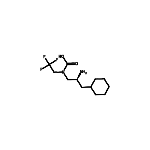 N[C@@H](CC1CCCCC1)CN(CC(F)(F)F)C(=O)O